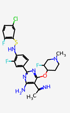 CC(=N)c1c(N)nc(-c2ccc(NSc3cc(Cl)ccc3F)c(F)c2)nc1OC1CCN(C)CC1F